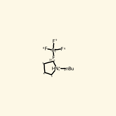 CCCC[NH+]1CCCC1.F[B-](F)(F)F